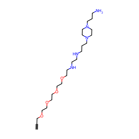 C#CCOCCOCCOCCOCCNCCNCCCN1CCN(CCCN)CC1